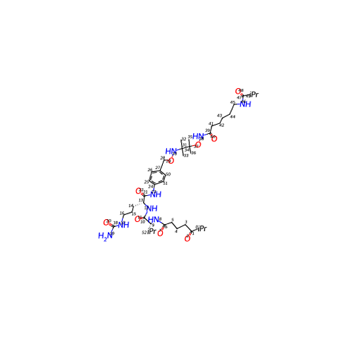 CC(C)C(=O)CCCC(=O)N[C@@H](C(=O)N[C@H](CCCNC(N)=O)C(=O)Nc1ccc(CONC(C)(C)C(C)(C)ONC(=O)CCCCCNC(=O)C(C)C)cc1)C(C)C